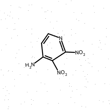 Nc1ccnc([N+](=O)[O-])c1[N+](=O)[O-]